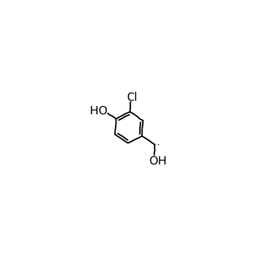 O[CH]c1ccc(O)c(Cl)c1